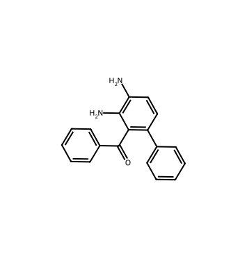 Nc1ccc(-c2ccccc2)c(C(=O)c2ccccc2)c1N